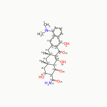 CN(C)c1cccc2c(O)c3c(cc12)C[C@H]1C[C@H]2CC(O)C(C(N)=O)C(=O)C2C(O)=C1C3=O